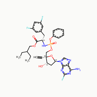 C#C[C@]1(COP(=O)(N[C@@H](Cc2cc(F)cc(F)c2)C(=O)OCC(CC)CC)Oc2ccccc2)O[C@@H](n2cnc3c(N)nc(F)nc32)C[C@@H]1O